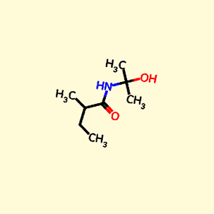 CCC(C)C(=O)NC(C)(C)O